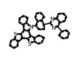 c1ccc(-c2nc(-c3ccc(-n4c5ccccc5c5c6sc7ccccc7c6c6sc7ccccc7c6c54)c4ccccc34)nc3ccccc23)cc1